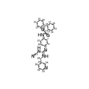 N#CNC(=Nc1ccc(NS(=O)(=O)c2ccccc2-c2ccccc2)cc1)NCc1cccnc1